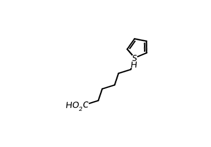 O=C(O)CCCCC[SH]1C=CC=C1